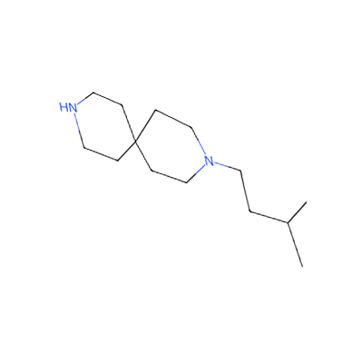 CC(C)CCN1CCC2(CCNCC2)CC1